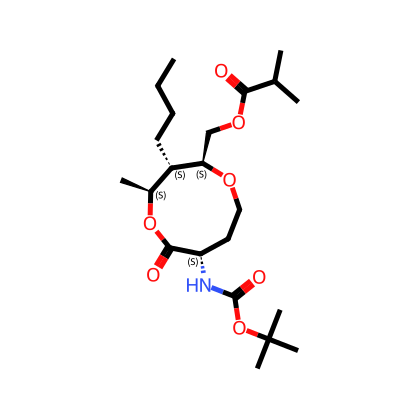 CCCC[C@H]1[C@H](C)OC(=O)[C@@H](NC(=O)OC(C)(C)C)CCO[C@@H]1COC(=O)C(C)C